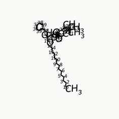 CCCCCCCCCCCCCCCCOCC(COP(=O)(O)OCC(C)[N+](C)(C)C)OCc1ccccc1